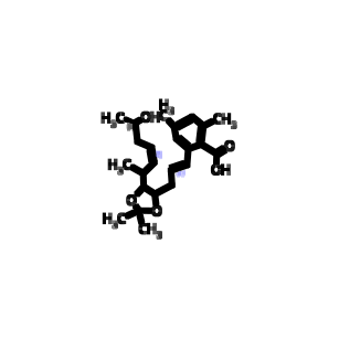 Cc1cc(C)c(C(=O)O)c(/C=C/CC2OC(C)(C)OC2C(C)/C=C\C[C@@H](C)O)c1